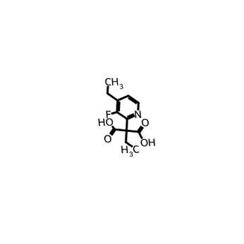 CCc1ccnc(C(CC)(C(=O)O)C(=O)O)c1F